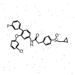 O=C(Cc1ccc([S+]([O-])CC2CC2)cc1)Nc1ccc(-c2cccc(F)c2)c(Oc2cccc(Cl)c2)c1